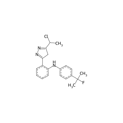 CC(Cl)C1=NN=C(c2ccccc2Nc2ccc(C(C)(C)F)cc2)C1